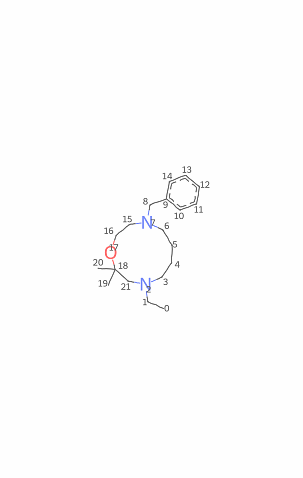 CCN1CCCCN(Cc2ccccc2)CCOC(C)(C)C1